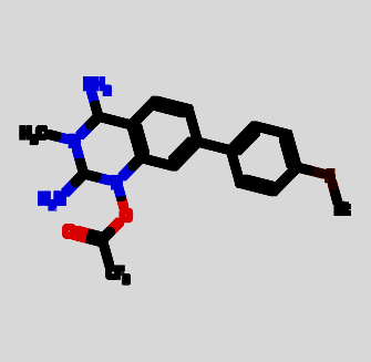 CCSc1ccc(-c2ccc3c(c2)N(OC(=O)C(F)(F)F)C(N)N(C)C3N)cc1